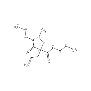 C=CCC(CCC)(C(=O)OCCC)C(=O)OCCC